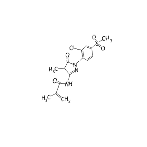 C=C(C)C(=O)NC1=NN(c2ccc(S(C)(=O)=O)cc2Cl)C(=O)C1C